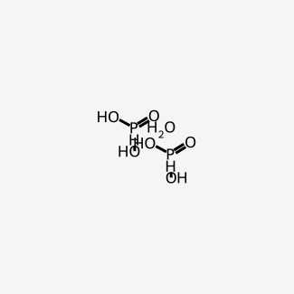 O.O=[PH](O)O.O=[PH](O)O